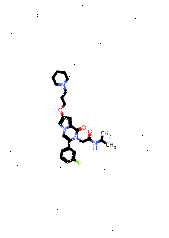 CC(C)NC(=O)Cn1c(-c2cccc(F)c2)cn2cc(OCCCN3CCCCC3)cc2c1=O